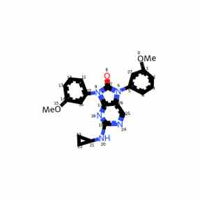 COc1cccc(-n2c(=O)n(-c3cccc(OC)c3)c3nc(NC4CC4)ncc32)c1